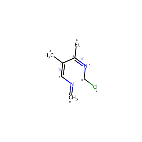 C=N/C=C(C)\C(CC)=N/CCl